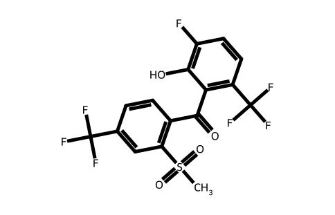 CS(=O)(=O)c1cc(C(F)(F)F)ccc1C(=O)c1c(C(F)(F)F)ccc(F)c1O